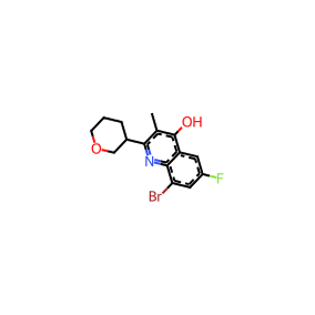 Cc1c(C2CCCOC2)nc2c(Br)cc(F)cc2c1O